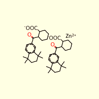 CC1(C)CCC(C)(C)c2cc(C(=O)C3CCCCC3C(=O)[O-])ccc21.CC1(C)CCC(C)(C)c2cc(C(=O)C3CCCCC3C(=O)[O-])ccc21.[Zn+2]